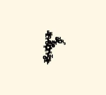 CN(C)/C=N/S(=O)(=O)c1cc(CCNC(=O)C(F)(F)F)ccc1OCCOC(F)(F)F